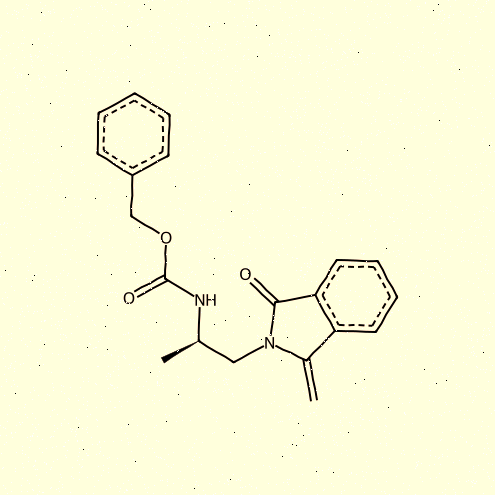 C=C1c2ccccc2C(=O)N1C[C@@H](C)NC(=O)OCc1ccccc1